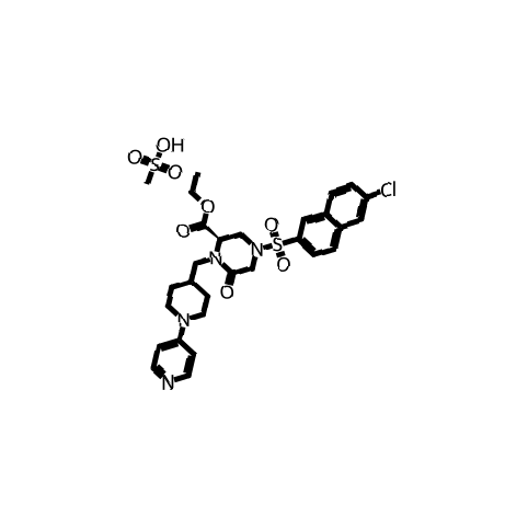 CCOC(=O)[C@H]1CN(S(=O)(=O)c2ccc3cc(Cl)ccc3c2)CC(=O)N1CC1CCN(c2ccncc2)CC1.CS(=O)(=O)O